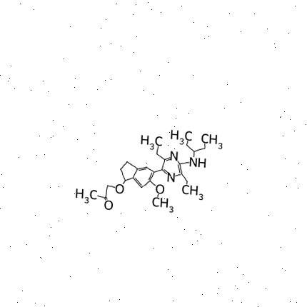 CCc1nc(-c2cc3c(cc2OC)C(OCC(C)=O)CC3)c(CC)nc1NC(CC)CC